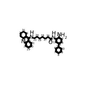 Nc1ccc(-c2ccccc2)cc1NC(=O)CCCCCCNc1c2c(nc3ccccc13)CCCC2